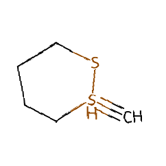 C#[SH]1CCCCS1